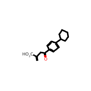 C=C(CC(=O)c1ccc(C2CCCCC2)cc1)C(=O)O